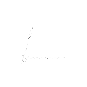 CCC.CCCCCCCCC=CCCCCCCCC(=O)C1C=CCN1C(=O)CCCCCCCC=CCCCCCCCC